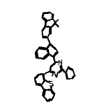 CC1(C)c2ccccc2-c2ccc(-c3ccc(-c4cc(-c5cccc6c5sc5ccccc56)nc(-c5ccccc5)n4)c4ccccc34)cc21